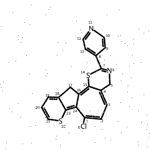 ClC1=CC=C2CN=C(c3ccncc3)SC2=C2CC3=CC=CSC3=C12